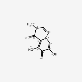 Cn1cnn2cc(O)c(=O)c(O)c2c1=O